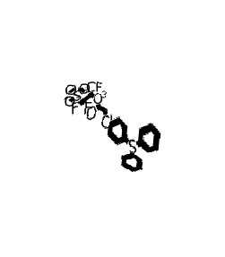 O=C(CCl)OC(C(F)(F)F)C(F)(F)S(=O)(=O)[O-].c1ccc([S+](c2ccccc2)c2ccccc2)cc1